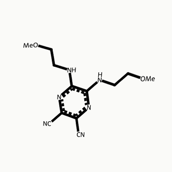 COCCNc1nc(C#N)c(C#N)nc1NCCOC